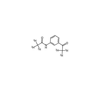 [2H]C([2H])([2H])C(=O)Nc1cccc(C(=O)C([2H])([2H])[2H])c1